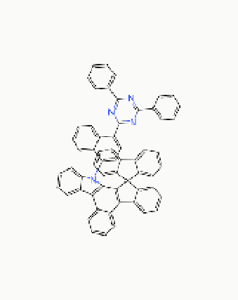 c1ccc(-c2nc(-c3ccccc3)nc(-c3ccc(-n4c5ccccc5c5c6ccccc6c6c(c54)C4(c5ccccc5-c5ccccc54)c4ccccc4-6)c4ccccc34)n2)cc1